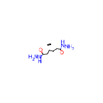 C=C.NNC(=O)CCCCC(=O)NN